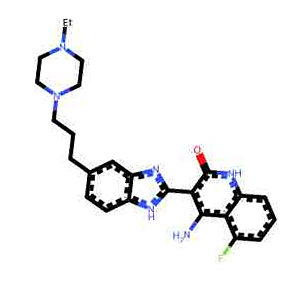 CCN1CCN(CCCc2ccc3[nH]c(-c4c(N)c5c(F)cccc5[nH]c4=O)nc3c2)CC1